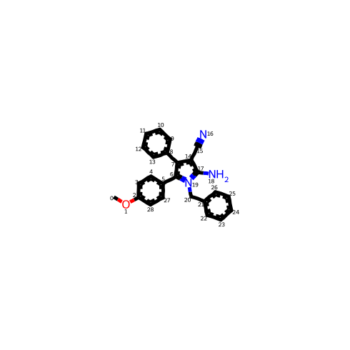 COc1ccc(-c2c(-c3ccccc3)c(C#N)c(N)n2Cc2ccccc2)cc1